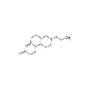 CCCC1CCC2C(CCC3=CC(=O)CCC32)C1